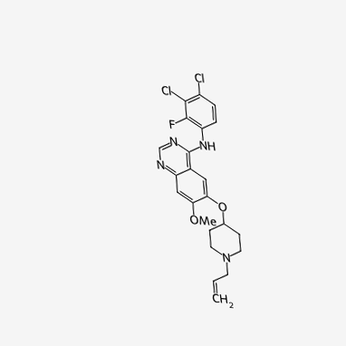 C=CCN1CCC(Oc2cc3c(Nc4ccc(Cl)c(Cl)c4F)ncnc3cc2OC)CC1